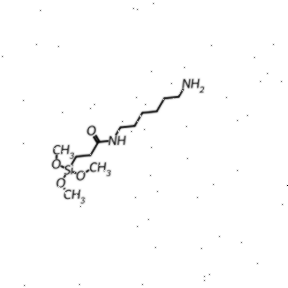 CO[Si](CCC(=O)NCCCCCCN)(OC)OC